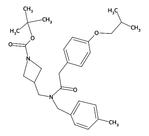 Cc1ccc(CN(CC2CN(C(=O)OC(C)(C)C)C2)C(=O)Cc2ccc(OCC(C)C)cc2)cc1